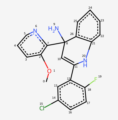 COc1cccnc1C1(N)C=C(c2cc(Cl)ccc2F)Nc2ccccc21